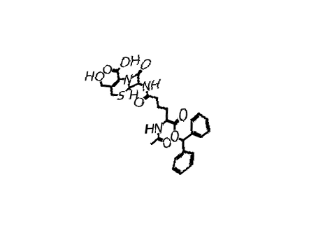 CC(=O)NC(CCCC(=O)NC1C(=O)N2C(C(=O)O)=C(CO)CS[C@@H]12)C(=O)OC(c1ccccc1)c1ccccc1